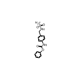 CS(=O)(=O)NCc1ccc(NC(=O)Oc2ccccc2)cc1